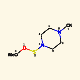 COOSN1CCN(C#N)CC1